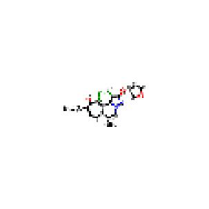 CCOC(=O)C1=CCC2C(=C(F)C1=O)c1c(Cl)c(O[C@@H]3CCOC3)nn1C[C@H]2C(C)(C)C